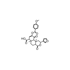 COc1ccc(C(=O)OC2=CC(C(=O)O)C3(C)CCC4C(=O)OC(c5ccoc5)CC4(C)C3C2=O)cc1